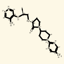 C[C@@H](CO[C@@H]1CCN(C2CCN(c3ncc(C(F)(F)F)cn3)CC2)C1=O)Oc1cnncc1C(F)(F)F